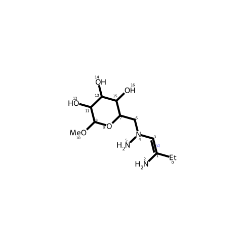 CC/C(N)=C/N(N)CC1OC(OC)C(O)C(O)C1O